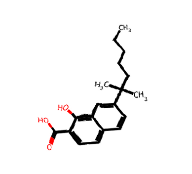 CCCCCC(C)(C)c1ccc2ccc(C(=O)O)c(O)c2c1